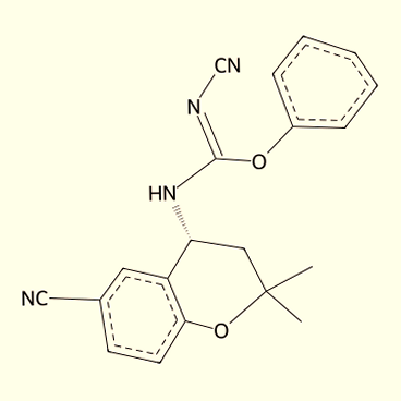 CC1(C)C[C@@H](N/C(=N/C#N)Oc2ccccc2)c2cc(C#N)ccc2O1